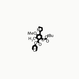 COc1c(C2=NCCC2)cc(OC(=O)OC(C)(C)C)c(C(=O)Oc2ccccc2)c1C